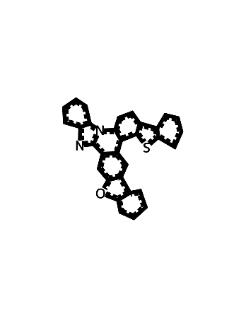 c1ccc2c(c1)nc1c3cc4oc5ccccc5c4cc3c3c4sc5ccccc5c4ccc3n21